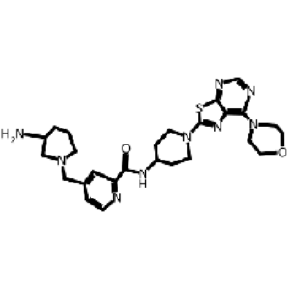 NC1CCCN(Cc2ccnc(C(=O)NC3CCN(c4nc5c(N6CCOCC6)ncnc5s4)CC3)c2)C1